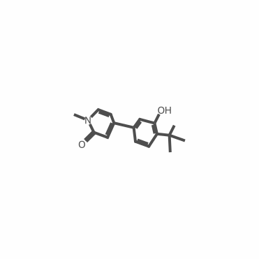 Cn1ccc(-c2ccc(C(C)(C)C)c(O)c2)cc1=O